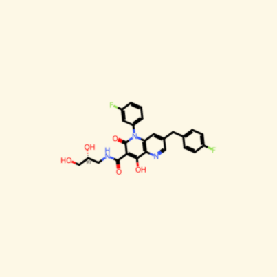 O=C(NC[C@@H](O)CO)c1c(O)c2ncc(Cc3ccc(F)cc3)cc2n(-c2cccc(F)c2)c1=O